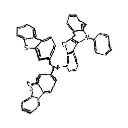 c1ccc(-n2c3ccccc3c3oc4c(N(c5ccc6c(c5)sc5ccccc56)c5ccc6c(c5)sc5ccccc56)cccc4c32)cc1